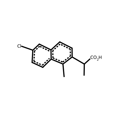 Cc1c(C(C)C(=O)O)ccc2cc(Cl)ccc12